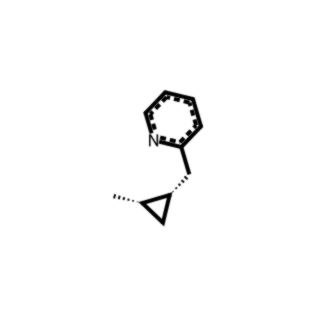 C[C@H]1C[C@H]1Cc1ccccn1